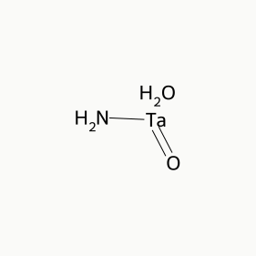 O.[NH2][Ta]=[O]